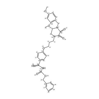 COc1ccc(CN2CCN(CCCOc3ccc(C(=N)NC(=O)OCc4ccccc4)cc3)C(=O)C2=O)c(OC)c1